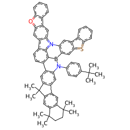 CC(C)(C)c1ccc(N2B3c4cc5sc6ccccc6c5cc4-n4c5cc6c(cc5c5ccc(c3c54)-c3cc4c(cc32)-c2cc3c(cc2C4(C)C)C(C)(C)CCC3(C)C)oc2ccccc26)cc1